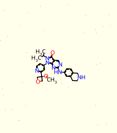 COC1(c2cc(-n3c4nc(Nc5ccc6c(c5)CCNC6)ncc4c(=O)n3C(C)C)ccn2)COC1